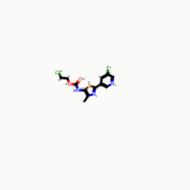 Cc1nc(-c2cncc(F)c2)sc1NC(=O)OCCCl